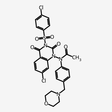 CC(=O)N(c1ccc(CN2CCOCC2)cc1)n1c(=O)n(S(=O)(=O)c2ccc(Cl)cc2)c(=O)c2ccc(Cl)cc21